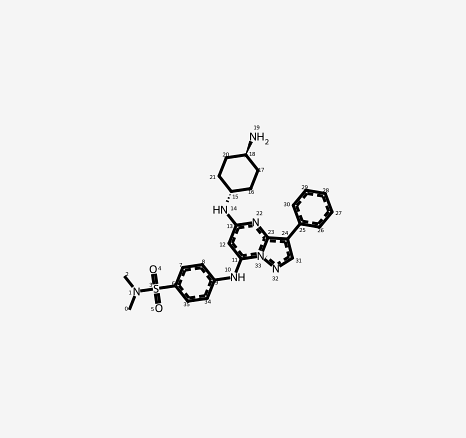 CN(C)S(=O)(=O)c1ccc(Nc2cc(N[C@H]3CC[C@H](N)CC3)nc3c(-c4ccccc4)cnn23)cc1